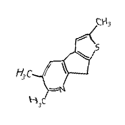 Cc1cc2c(s1)Cc1nc(C)c(C)cc1-2